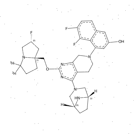 [2H]C1([2H])CC[C@@]2(COc3nc4c(c(N5C[C@H]6CC[C@@H](C5)N6)n3)CCN(c3cc(O)cc5ccc(F)c(F)c35)C4)C[C@@H](F)CN12